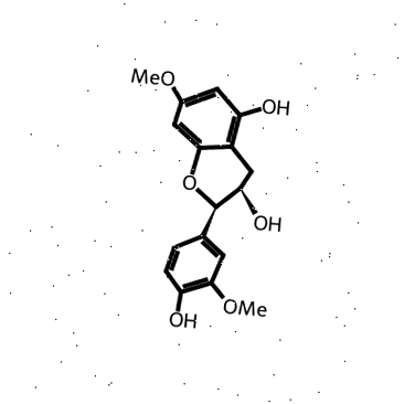 COc1cc(O)c2c(c1)O[C@H](c1ccc(O)c(OC)c1)[C@H](O)C2